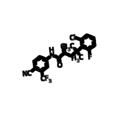 CC(C)(CC(=O)C(=O)Nc1ccc(C#N)c(C(F)(F)F)c1)c1c(F)cccc1Cl